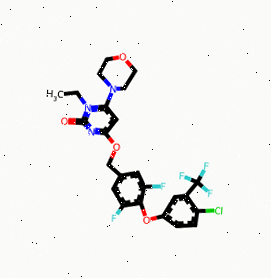 CCn1c(N2CCOCC2)cc(OCc2cc(F)c(Oc3ccc(Cl)c(C(F)(F)F)c3)c(F)c2)nc1=O